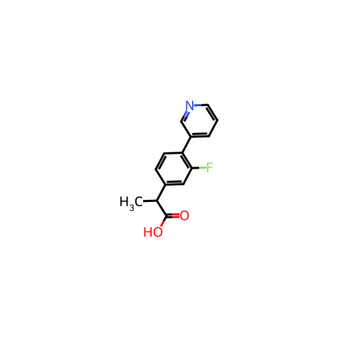 CC(C(=O)O)c1ccc(-c2cccnc2)c(F)c1